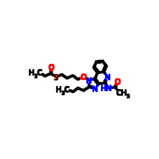 CCCCc1nc2c(NC(C)=O)nc3ccccc3c2n1OCCCCSC(=O)CC